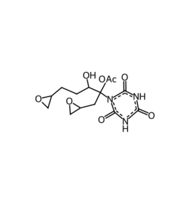 CC(=O)OC(CC1CO1)(C(O)CCC1CO1)n1c(=O)[nH]c(=O)[nH]c1=O